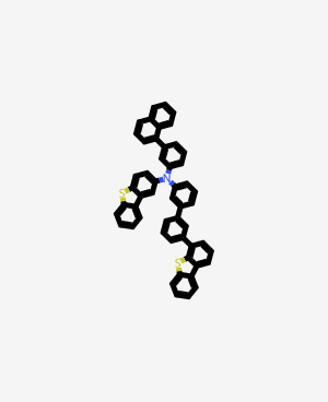 c1cc(-c2cccc(N(c3cccc(-c4cccc5ccccc45)c3)c3ccc4sc5ccccc5c4c3)c2)cc(-c2cccc3c2sc2ccccc23)c1